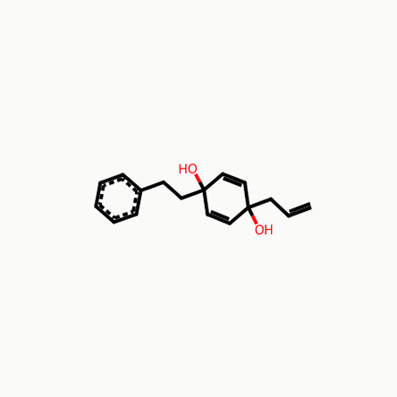 C=CCC1(O)C=CC(O)(CCc2ccccc2)C=C1